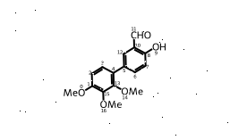 COc1ccc(-c2ccc(O)c(C=O)c2)c(OC)c1OC